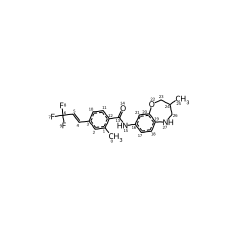 Cc1cc(/C=C/C(F)(F)F)ccc1C(=O)Nc1ccc2c(c1)OCC(C)CN2